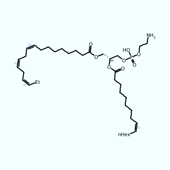 CC/C=C\C/C=C\C/C=C\CCCCCCCC(=O)OC[C@H](COP(=O)(O)OCCN)OC(=O)CCCCCCC/C=C\CCCCCC